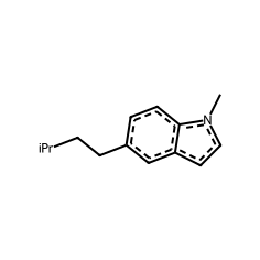 CC(C)CCc1ccc2c(ccn2C)c1